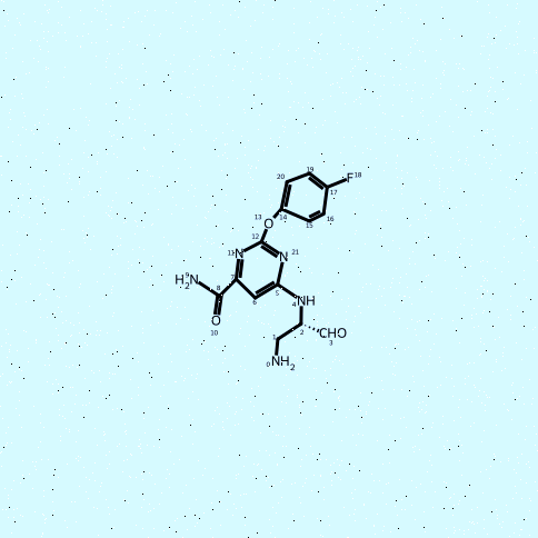 NC[C@@H](C=O)Nc1cc(C(N)=O)nc(Oc2ccc(F)cc2)n1